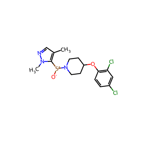 Cc1cnn(C)c1[S+]([O-])N1CCC(Oc2ccc(Cl)cc2Cl)CC1